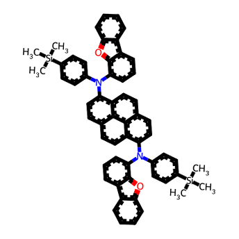 C[Si](C)(C)c1ccc(N(c2ccc3ccc4c(N(c5ccc([Si](C)(C)C)cc5)c5cccc6c5oc5ccccc56)ccc5ccc2c3c54)c2cccc3c2oc2ccccc23)cc1